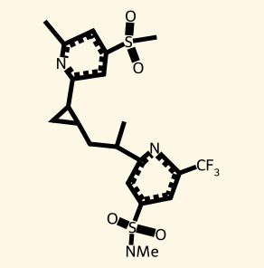 CNS(=O)(=O)c1cc(C(C)CC2CC2c2cc(S(C)(=O)=O)cc(C)n2)nc(C(F)(F)F)c1